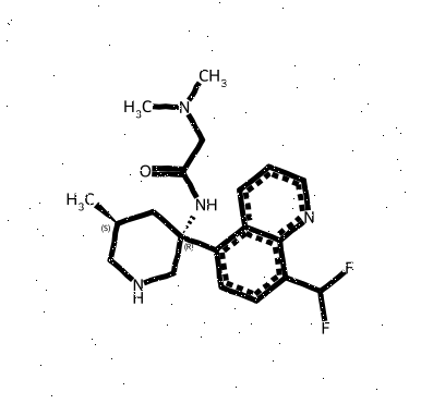 C[C@@H]1CNC[C@](NC(=O)CN(C)C)(c2ccc(C(F)F)c3ncccc23)C1